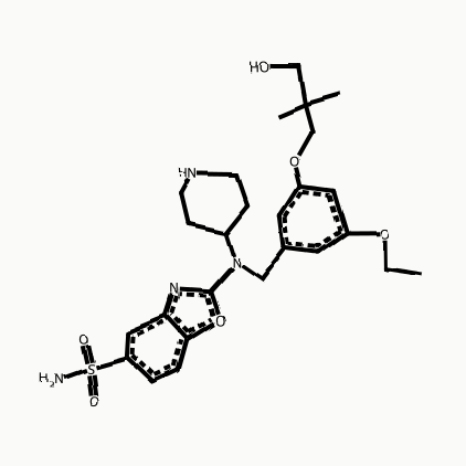 CCOc1cc(CN(c2nc3cc(S(N)(=O)=O)ccc3o2)C2CCNCC2)cc(OCC(C)(C)CO)c1